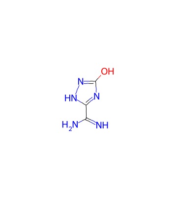 N=C(N)c1nc(O)n[nH]1